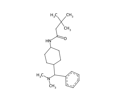 CN(C)C(c1ccccc1)C1CCC(NC(=O)CC(C)(C)C)CC1